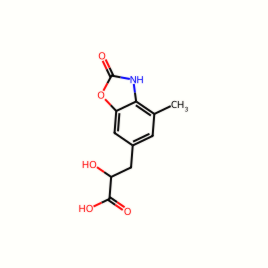 Cc1cc(CC(O)C(=O)O)cc2oc(=O)[nH]c12